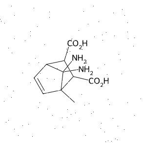 CC12C=CC(C(C(=O)O)C1C(=O)O)C2(N)N